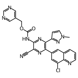 Cn1ccc(-c2nc(NC(=O)OCc3cncnc3)c(C#N)nc2-c2cc(Cl)c3ncccc3c2)n1